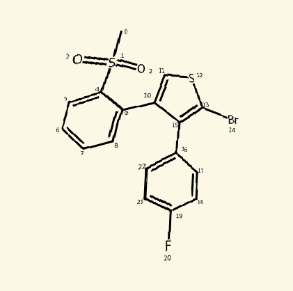 CS(=O)(=O)c1ccccc1-c1csc(Br)c1-c1ccc(F)cc1